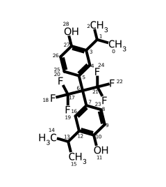 CC(C)c1cc(C(c2ccc(O)c(C(C)C)c2)(C(F)(F)F)C(F)(F)F)ccc1O